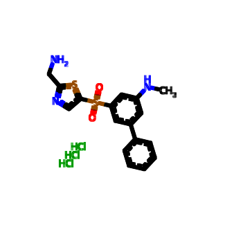 CNc1cc(-c2ccccc2)cc(S(=O)(=O)c2cnc(CN)s2)c1.Cl.Cl.Cl